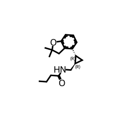 CCCC(=O)NC[C@@H]1C[C@H]1c1cccc2c1CC(C)(C)O2